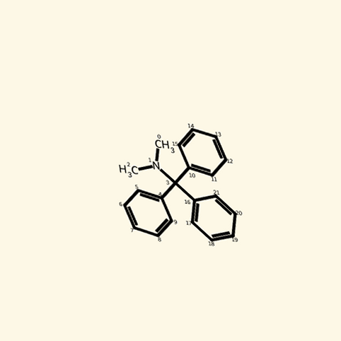 CN(C)C(c1ccccc1)(c1ccccc1)c1ccccc1